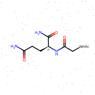 CC(=O)NCC(=O)N[C@@H](CCC(N)=O)C(N)=O